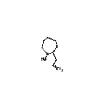 C=CCC1CCCCCN1O